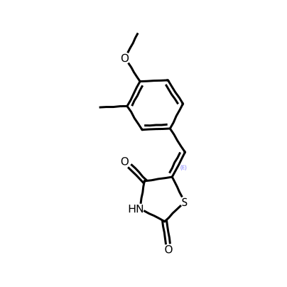 COc1ccc(/C=C2/SC(=O)NC2=O)cc1C